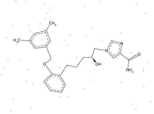 Cc1cc(C)cc(COc2ccccc2CCC[C@H](O)Cn2cnc(C(N)=O)c2)c1